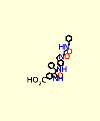 O=C(CC(=O)N1CCc2cc(N/C(=C3\C(=O)Nc4cc(C(=O)O)ccc43)c3ccccc3)ccc21)NCc1ccccc1